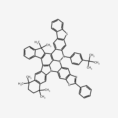 CC(C)(C)c1ccc(N2B3c4cc5nc(-c6ccccc6)oc5cc4-n4c5cc6c(cc5c5c7c(c(c3c54)-c3cc4c(cc32)sc2ccccc24)C(C)(C)c2ccccc2-7)C(C)(C)CCC6(C)C)cc1